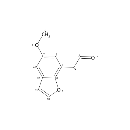 COc1cc(C[C]=O)c2occc2c1